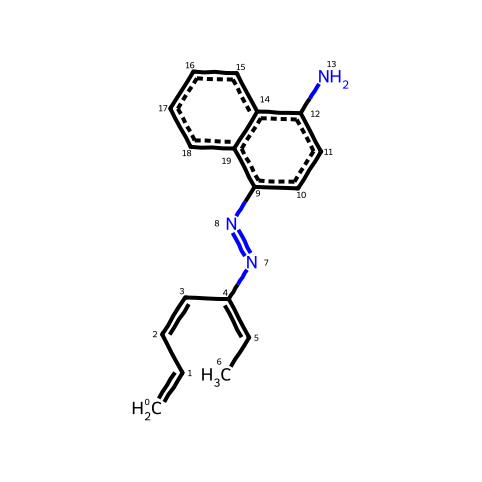 C=C\C=C/C(=C\C)/N=N/c1ccc(N)c2ccccc12